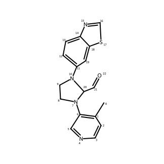 Cc1ccncc1N1CCN(c2ccc3ncsc3c2)C1C=O